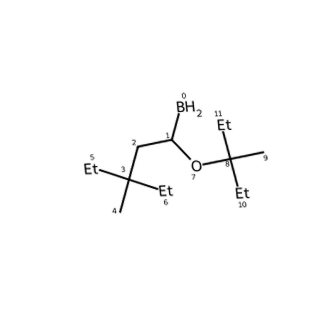 BC(CC(C)(CC)CC)OC(C)(CC)CC